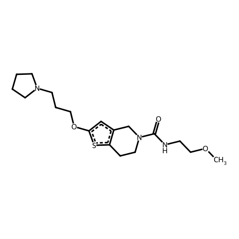 COCCNC(=O)N1CCc2sc(OCCCN3CCCC3)cc2C1